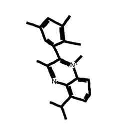 Cc1cc(C)c(C)c(-c2c(C)nc3c(C(C)C)cccc3[n+]2C)c1